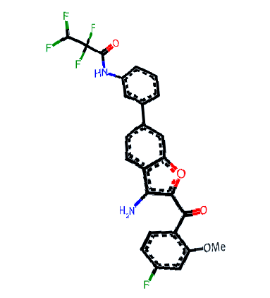 COc1cc(F)ccc1C(=O)c1oc2cc(-c3cccc(NC(=O)C(F)(F)C(F)F)c3)ccc2c1N